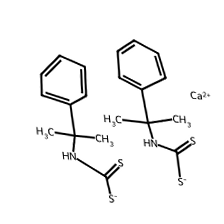 CC(C)(NC(=S)[S-])c1ccccc1.CC(C)(NC(=S)[S-])c1ccccc1.[Ca+2]